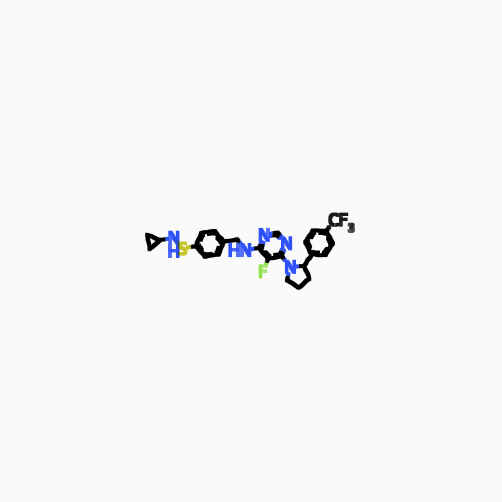 Fc1c(NCc2ccc(SNC3CC3)cc2)ncnc1N1CCCC1c1ccc(C(F)(F)F)cc1